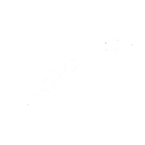 C/C(=C(/N)CO)N(N)CCCOc1ccc(C(C)(C)c2ccc(OCC(O)CCl)cc2)cc1